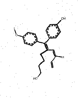 C=C/C(=C\C(CCCCO)=C(/c1ccc(O)cc1)c1ccc(OI)cc1)CC